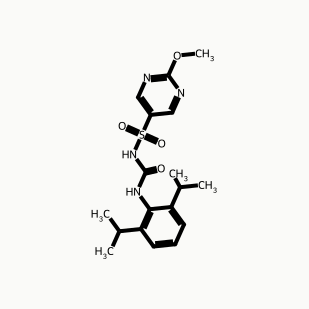 COc1ncc(S(=O)(=O)NC(=O)Nc2c(C(C)C)cccc2C(C)C)cn1